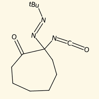 CC(C)(C)N=NC1(N=C=O)CCCCCCC1=O